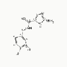 Nc1ncc(C(=O)NCc2ccc(F)c(F)c2)s1